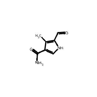 Cc1c(C(N)=O)c[nH]c1[C]=O